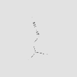 CCC(C)SN=C=O